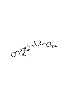 N[C@H](Cc1ccccc1)C(=O)Nc1ccc(/C=C/C(=O)CC(=O)/C=C/c2ccc(O)cc2)cc1